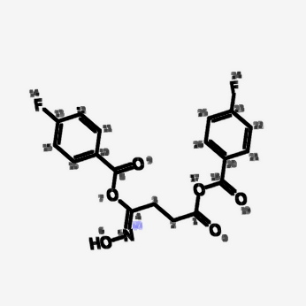 O=C(CC/C(=N/O)OC(=O)c1ccc(F)cc1)OC(=O)c1ccc(F)cc1